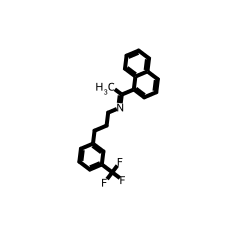 C/C(=N\CCCc1cccc(C(F)(F)F)c1)c1cccc2ccccc12